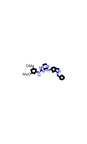 COc1cc(Nc2nc3c(Nc4ccc5cnn(Cc6ccccc6)c5c4)nccn3n2)cc(OC)c1